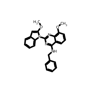 COc1cccc2c(NCc3ccccc3)nc(-n3c(OC)cc4ccccc43)nc12